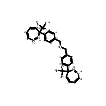 FC(F)(F)C1(c2ccc(COCc3ccc(C4(C(F)(F)F)C=CC=CN=N4)cc3)cc2)C=CC=CN=N1